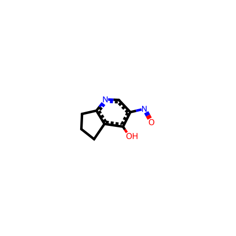 O=Nc1cnc2c(c1O)CCC2